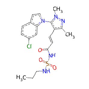 CCCNS(=O)(=O)NC(=O)/C=C/c1c(C)nn(C)c1-n1ccc2ccc(Cl)cc21